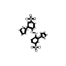 O=S(=O)(Cl)c1ccc(SSc2ccc(S(=O)(=O)Cl)cc2-c2cccs2)c(-c2cccs2)c1